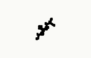 CCOC(=S)SCC(C)C